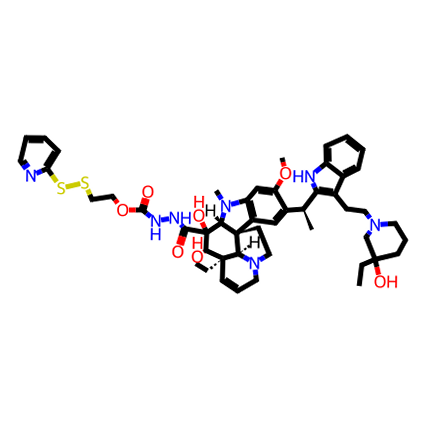 CCC1(O)CCCN(CCc2c([C@@H](C)c3cc4c(cc3OC)N(C)[C@H]3C(O)(C(=O)NNC(=O)OCCSSc5ccccn5)[C@H](O)[C@]5(CC)C=CCN6CC[C@]43[C@@H]65)[nH]c3ccccc23)C1